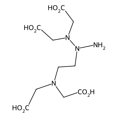 NN(CCN(CC(=O)O)CC(=O)O)N(CC(=O)O)CC(=O)O